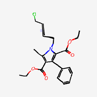 CCOC(=O)c1c(-c2ccccc2)c(C(=O)OCC)n(C/C=C/CCl)c1C